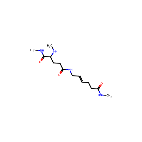 CNC(=O)CCC=CCNC(=O)CCC(NC)C(=O)NC